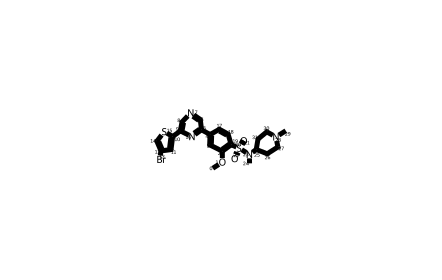 COc1cc(-c2cncc(-c3cc(Br)cs3)n2)ccc1S(=O)(=O)N(C)C1CCN(C)CC1